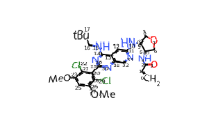 C=CC(=O)N[C@H]1COC[C@H]1Nc1cc2c(NCC(C)(C)C)nc(-c3c(Cl)c(OC)cc(OC)c3Cl)nc2cn1